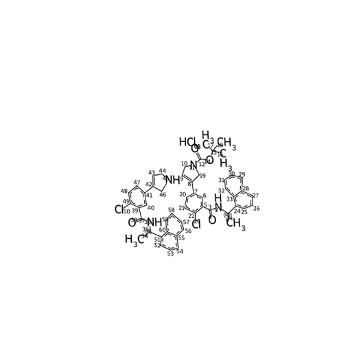 C[C@@H](NC(=O)c1cc(C2=CCN(C(=O)OC(C)(C)C)C2)ccc1Cl)c1cccc2ccccc12.C[C@@H](NC(=O)c1cc(C2=CCNC2)ccc1Cl)c1cccc2ccccc12.Cl